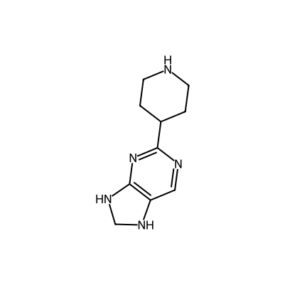 c1nc(C2CCNCC2)nc2c1NCN2